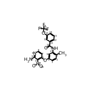 Cc1ccc(Oc2ccnc(N)c2[N+](=O)[O-])cc1NC(=O)c1cccc(OC(F)(F)F)c1